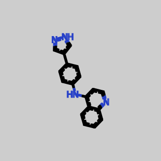 c1ccc2c(Nc3ccc(-c4cn[nH]c4)cc3)ccnc2c1